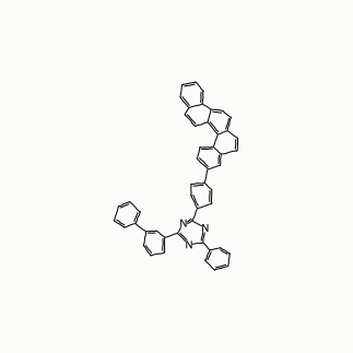 c1ccc(-c2cccc(-c3nc(-c4ccccc4)nc(-c4ccc(-c5ccc6c(ccc7ccc8c9ccccc9ccc8c76)c5)cc4)n3)c2)cc1